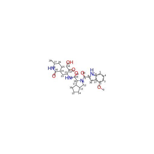 COc1cccc2[nH]c(C(=O)N3CC4CCCC4C3C(=O)NC(CC3CCC(C)NC3=O)C(=O)CO)cc12